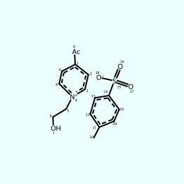 CC(=O)c1cc[n+](CCO)cc1.Cc1ccc(S(=O)(=O)[O-])cc1